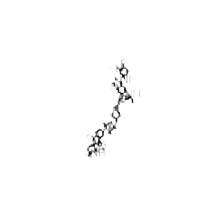 C=CC(=O)Nc1cc2c(Nc3ccc(F)c(Cl)c3)ncnc2cc1OCCCN1CCC(CN2CC(C)N(c3ccc4c(c3)C(=O)N(C3CCC(=O)NC3=O)C4=O)C(C)C2)CC1